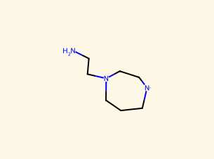 NCCN1CCC[N]CC1